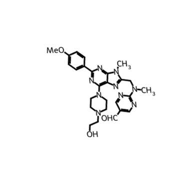 COc1ccc(-c2nc(N3CCN(CCO)CC3)c3nc(CN(C)c4ncc(C=O)cn4)n(C)c3n2)cc1